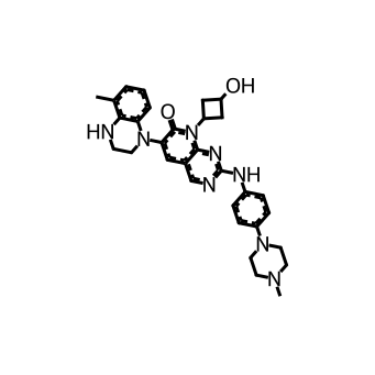 Cc1cccc2c1NCCN2c1cc2cnc(Nc3ccc(N4CCN(C)CC4)cc3)nc2n(C2CC(O)C2)c1=O